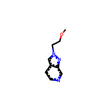 COCCn1cc2ccncc2n1